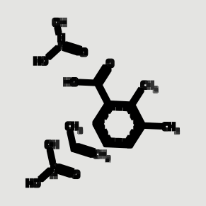 C=CC.Cc1cccc(C(=O)O)c1C.O=[PH](O)O.O=[PH](O)O